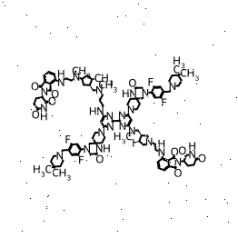 C[C@@H]1CC(N(C)CCNc2cccc3c2C(=O)N(C2CCC(=O)NC2=O)C3=O)C[C@@H]1CN(C)CCCNc1cc(N2CCC3(CC2)CN(c2cc(F)c(CN4CCC(C)(C)CC4)cc2F)CC(=O)N3)nc(-c2nc(N(C)C[C@H]3CN(CCNc4cccc5c4C(=O)N(C4CCC(=O)NC4=O)C5=O)C[C@H]3I)cc(N3CCC4(CC3)CN(c3cc(F)c(CN5CCC(C)(C)CC5)cc3F)CC(=O)N4)n2)n1